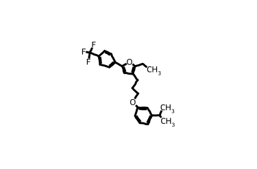 CCc1oc(-c2ccc(C(F)(F)F)cc2)cc1CCCOc1cccc(C(C)C)c1